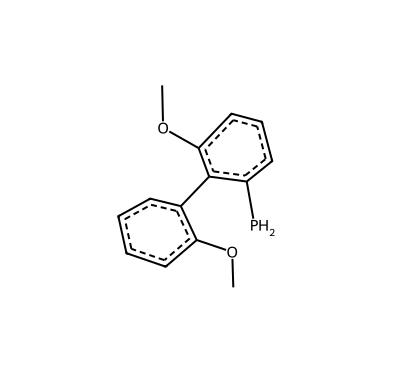 COc1ccccc1-c1c(P)cccc1OC